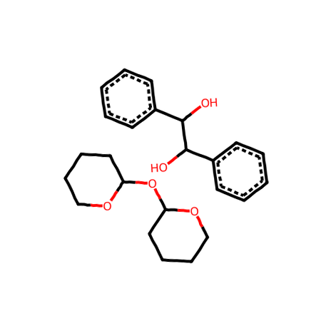 C1CCC(OC2CCCCO2)OC1.OC(c1ccccc1)C(O)c1ccccc1